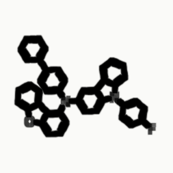 Fc1ccc(-n2c3ccccc3c3cc(N(c4ccc(-c5ccccc5)cc4)c4cccc5oc6ccccc6c45)ccc32)cc1